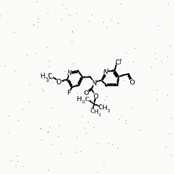 COc1ncc(CN(C(=O)OC(C)(C)C)c2ccc(C=O)c(Cl)n2)cc1F